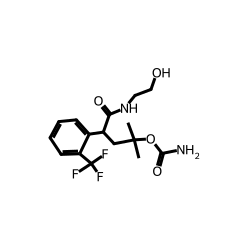 CC(C)(CC(C(=O)NCCO)c1ccccc1C(F)(F)F)OC(N)=O